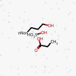 CCC(=O)O.CCCCCCCCCCCCO.O=S(=O)(O)O